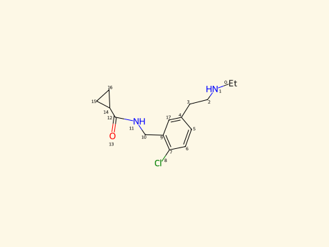 CCNCCc1ccc(Cl)c(CNC(=O)C2CC2)c1